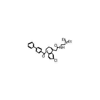 CCN(CC)CCNC(=O)CC1=CCCN(C(=O)c2ccc(-c3ccccc3)cc2)c2ccc(Cl)cc21